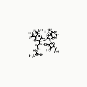 CC12N=CN([C@@H]3O[C@H](CO)[C@@H](O)[C@H]3S)C1=NC=NC2=N.N=C(N)NCCCC(NC(CC(=O)O)C(=O)O)C(=O)O